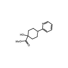 COC(=O)C1(O)CCN(c2ccccn2)CC1